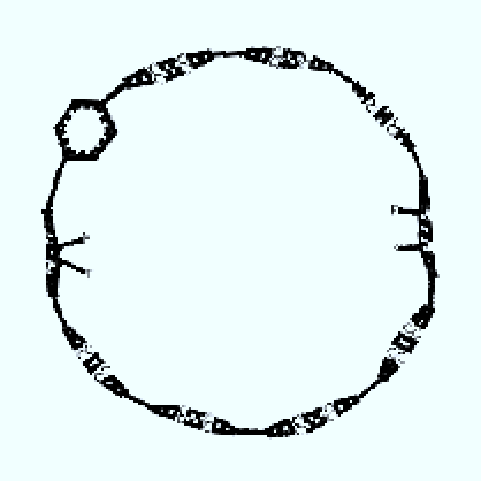 Fc1c2ccc(c1F)-c1ccc(cc1)-c1ccc(cc1)-c1ccc(cc1)-c1ccc(cc1)-c1ccc(c(F)c1F)-c1ccc(cc1)-c1ccc(cc1)-c1ccc(cc1)-c1ccc-2cc1